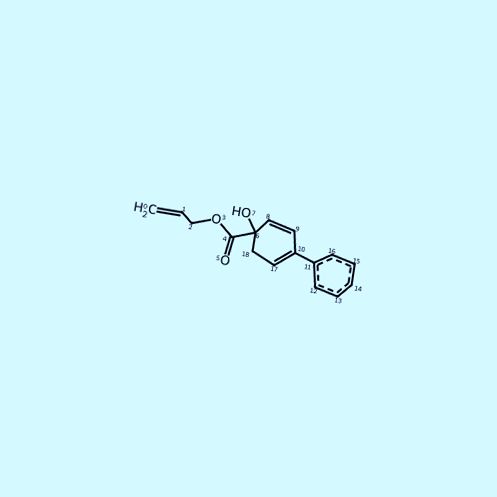 C=CCOC(=O)C1(O)C=CC(c2ccccc2)=CC1